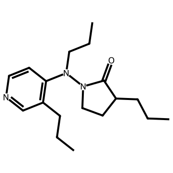 CCCc1cnccc1N(CCC)N1CCC(CCC)C1=O